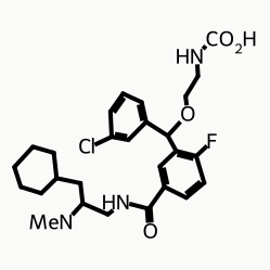 CNC(CNC(=O)c1ccc(F)c(C(OCCNC(=O)O)c2cccc(Cl)c2)c1)CC1CCCCC1